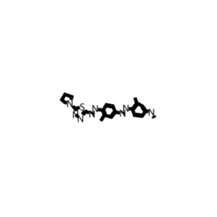 C=Nc1ccc(/N=N/c2ccc(/N=N/c3nnc(N4CCCC4)s3)c(C)c2)c(C)c1